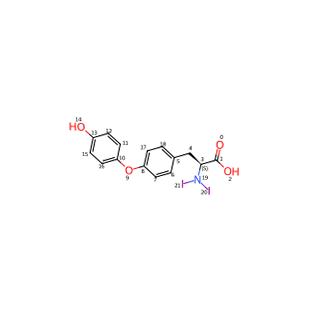 O=C(O)[C@H](Cc1ccc(Oc2ccc(O)cc2)cc1)N(I)I